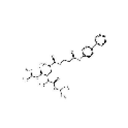 CC(C)OC(=O)C(C)C(CC(C)C(=O)OCCC(=O)Oc1ccc(-c2ccccc2)cc1)C(=O)OC(C)C